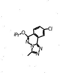 Cc1nnc2c3cc(Cl)ccc3c(OC(C)C)nn12